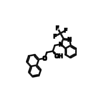 O[C@@H](COc1cccc2ccccc12)Cn1c(C(F)(F)F)nc2ccccc21